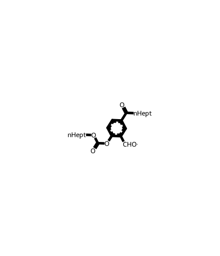 CCCCCCCOC(=O)Oc1ccc(C(=O)CCCCCCC)cc1[C]=O